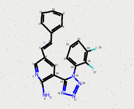 Nc1ncc(/C=C/c2ccccc2)cc1-c1nnnn1-c1cccc(F)c1F